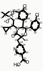 CC(C)(C)S(=O)(=O)CC(C1CC1)N1C(=O)[C@@](C)(Cc2ccc(C(=O)O)cn2)O[C@H](c2cccc(Cl)c2)C1c1ccc(Cl)c(F)c1